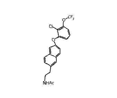 CC(=O)NCCc1ccc2cc(Oc3cccc(OC(F)(F)F)c3Cl)ccc2c1